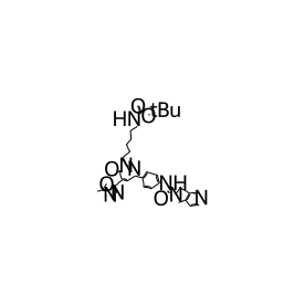 Cc1nnc(-c2cc(-c3ccc(NC(=O)N4Cc5ccncc5C4)cc3)nn(CCCCCCNC(=O)OC(C)(C)C)c2=O)o1